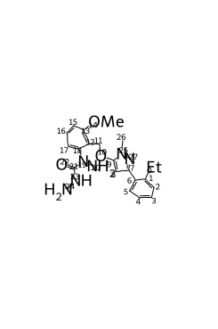 CCc1ccccc1-c1cc(OCc2c(OC)cccc2N(N)C(=O)NN)n(C)n1